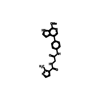 COc1ncc(-c2ccc(NC(=O)CNC(=O)c3ccnn3C)cc2)c2cc[nH]c12